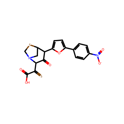 O=C(O)C(=S)C1C(=O)C(c2ccc(-c3ccc([N+](=O)[O-])cc3)o2)C2CN1CS2